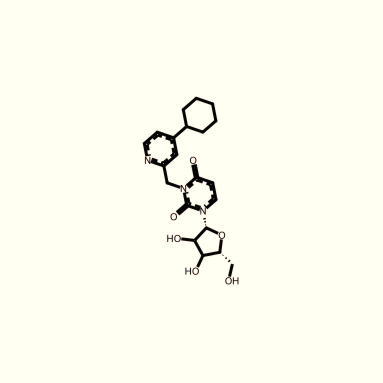 O=c1ccn([C@@H]2O[C@H](CO)C(O)C2O)c(=O)n1Cc1cc(C2CCCCC2)ccn1